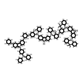 CC1(C)c2ccccc2N(c2ccc3[nH]c4ccc(N5c6ccccc6C(C)(C)c6cc(-c7cccc8c7Oc7ccccc7N8c7ccc8[nH]c9ccc(N%10c%11ccccc%11Oc%11cc(-c%12cccc(-c%13ccc%14c(c%13)c%13cc(-c%15ccccc%15)ccc%13n%14-c%13ccc(N(c%14ccccc%14)c%14ccccc%14)cc%13)c%12)ccc%11%10)cc9c8c7)ccc65)cc4c3c2)c2ccccc21